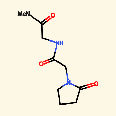 CNC(=O)CNC(=O)CN1CCCC1=O